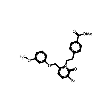 COC(=O)c1ccc(CCn2c(COc3cccc(OC(F)(F)F)c3)ccc(Br)c2=O)cc1